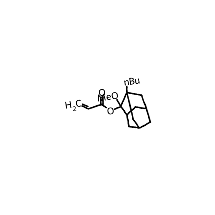 C=CC(=O)OC1(OC)C2CC3CC(C2)CC1(CCCC)C3